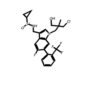 CC(CO)(CCl)Cn1cc(CN[S+]([O-])C2CC2)c2cc(F)c(-c3ccccc3C(F)(F)F)cc21